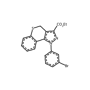 CCOC(=O)c1nn(-c2cccc(Br)c2)c2c1CSc1ccccc1-2